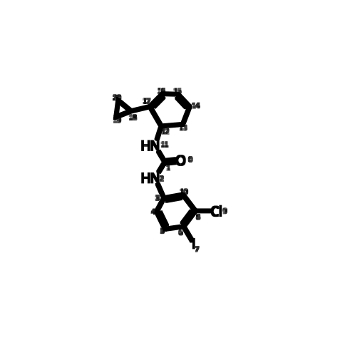 O=C(Nc1ccc(I)c(Cl)c1)NC1CC=CC=C1C1CC1